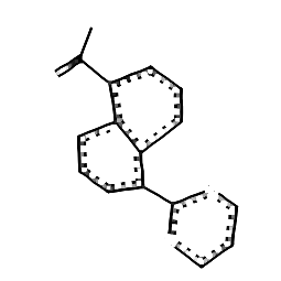 O=C(O)c1cccc2c(-c3ncccn3)cccc12